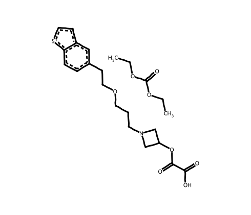 CCOC(=O)OCC.O=C(O)C(=O)OC1CN(CCCOCCc2ccc3sccc3c2)C1